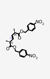 C[C@H](/C=C/[C@H](C)C(=O)OCc1ccc([N+](=O)[O-])cc1)C(=O)OCc1ccc([N+](=O)[O-])cc1